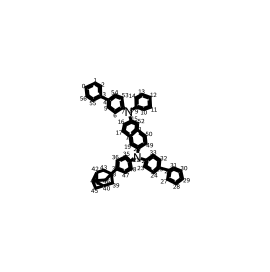 c1ccc(-c2ccc(N(c3ccccc3)c3ccc4cc(N(c5ccc(-c6ccccc6)cc5)c5ccc(C67CC8CC(C6)C(C8)C7)cc5)ccc4c3)cc2)cc1